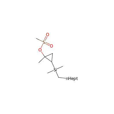 CCCCCCCC[Si](C)(C)C1CC1(C)OS(C)(=O)=O